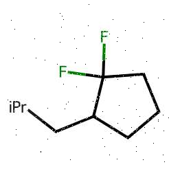 CC(C)CC1CCCC1(F)F